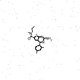 CCCN(C)C(=O)c1cc2c(-c3ccc(C)cc3C)nc(N)nc2s1